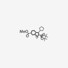 COC(=O)c1ccc2c(C3CCCC3)c(B3OC(C)(C)C(C)(C)O3)n(C)c2c1